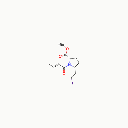 CC=CC(=O)N1[C@@H](CCI)CC[C@H]1C(=O)OC(C)(C)C